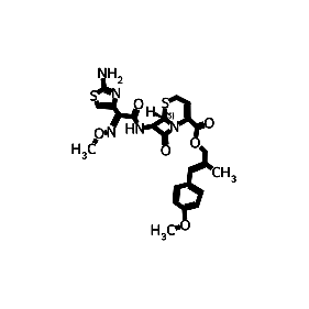 CON=C(C(=O)NC1C(=O)N2C(C(=O)OCC(C)=Cc3ccc(OC)cc3)=CCS[C@@H]12)c1csc(N)n1